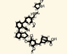 COc1nc(-c2cccc(-c3cccc4c3CC[C@@H]4Oc3nc(OC)c(CN4CC5(C(=O)O)CCC4CC5)cc3Cl)c2C#N)ccc1CNC[C@@H]1CCC(=O)N1